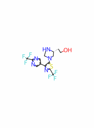 OCC[C@@H]1CN(c2sc(C(F)(F)F)nc2-c2cnc(C(F)(F)F)nc2)CCN1